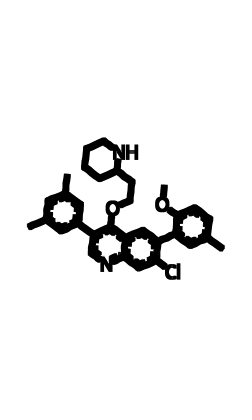 COc1ccc(C)cc1-c1cc2c(OCCC3CCCCN3)c(-c3cc(C)cc(C)c3)cnc2cc1Cl